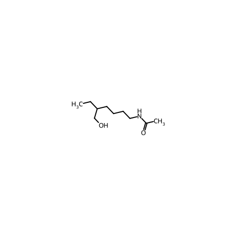 CCC(CO)CCCCNC(C)=O